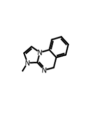 CN1C=CN2C1=NCc1ccccc12